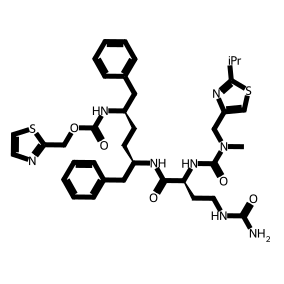 CC(C)c1nc(CN(C)C(=O)N[C@@H](CCNC(N)=O)C(=O)N[C@H](CC[C@H](Cc2ccccc2)NC(=O)OCc2nccs2)Cc2ccccc2)cs1